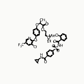 CCOCCOC(=O)C(C)Oc1ccc(Oc2ncc(C(F)(F)F)cc2Cl)cc1.COc1ccccc1C(=O)NS(=O)(=O)c1ccc(C(=O)NC2CC2)cc1